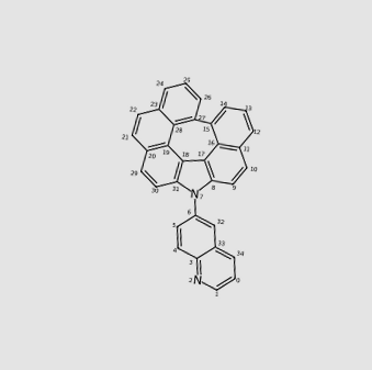 c1cnc2ccc(-n3c4ccc5cccc6c5c4c4c5c(ccc7cccc-6c75)ccc43)cc2c1